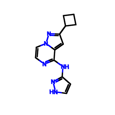 c1cn2nc(C3CCC3)cc2c(Nc2cc[nH]n2)n1